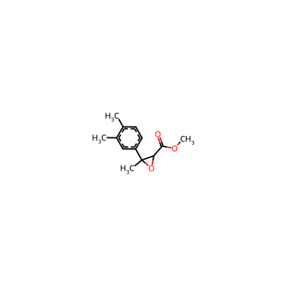 COC(=O)C1OC1(C)c1ccc(C)c(C)c1